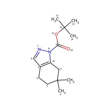 CC1(C)CCc2cnn(C(=O)OC(C)(C)C)c2C1